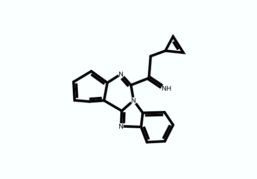 N=C(CC1C=C1)c1nc2ccccc2c2nc3ccccc3n12